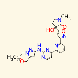 C[C@H]1Cn2nc(Nc3nccc(-c4cccc(-c5cc([C@]6(O)CCN(C)C6=O)on5)n4)n3)cc2CO1